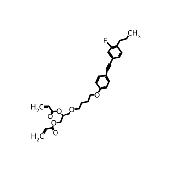 C=CC(=O)OCC(COCCCCOc1ccc(C#Cc2ccc(CCC)c(F)c2)cc1)OC(=O)C=C